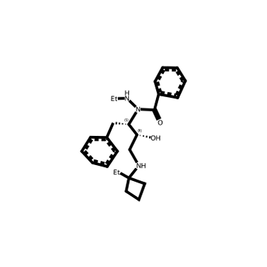 CCNN(C(=O)c1ccccc1)[C@@H](Cc1ccccc1)[C@H](O)CNC1(CC)CCC1